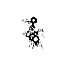 COc1ccccc1-c1cn([C@H]2C(C)=C[C@]34C(=O)[C@@H](C=C(CO)[C@@H](O)[C@]23O)[C@H]2[C@@H](C[C@H]4C)C2(C)C)nn1